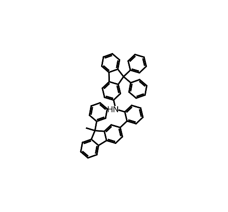 CC1(c2ccccc2)c2ccccc2-c2ccc(-c3ccccc3Nc3ccc4c(c3)C(c3ccccc3)(c3ccccc3)c3ccccc3-4)cc21